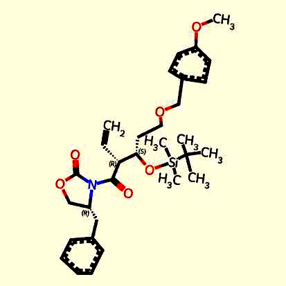 C=C[C@@H](C(=O)N1C(=O)OC[C@H]1Cc1ccccc1)[C@H](CCOCc1ccc(OC)cc1)O[Si](C)(C)C(C)(C)C